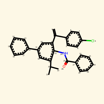 C=C(c1ccc(Cl)cc1)c1cc(-c2ccccc2)cc(C(C)C)c1NC(=O)c1ccccc1